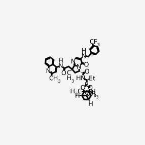 CC[C@H](NC(=O)[C@@H]1C[C@@](C)(CC(=O)Nc2cc(C)nc3ccccc23)c2ncc(NCc3cccc(C(F)(F)F)c3)c(=O)n21)B1O[C@@H]2C[C@@H]3C[C@@H](C3(C)C)[C@]2(C)O1